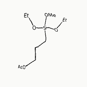 CCO[Si](CCCOC(C)=O)(OC)OCC